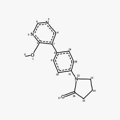 COc1ncncc1-c1ccc(N2CCCC2=O)cc1